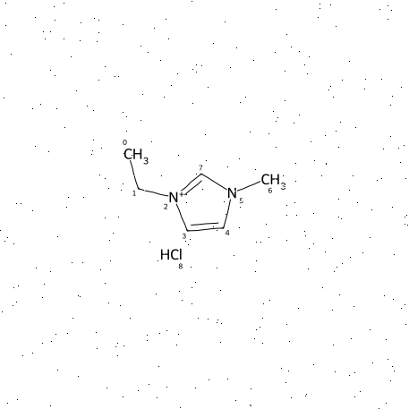 CC[n+]1ccn(C)c1.Cl